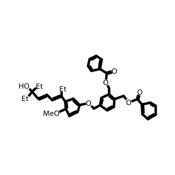 CCC(=CC=CC(O)(CC)CC)c1cc(OCc2ccc(COC(=O)c3ccccc3)c(COC(=O)c3ccccc3)c2)ccc1OC